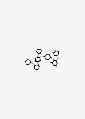 CC(C)c1cc(C(C)C)c(B2c3ccccc3Sc3cc(-n4c5ccccc5c5cc6c(cc54)c4ccccc4n6-c4ccccc4)ccc32)c(C(C)C)c1